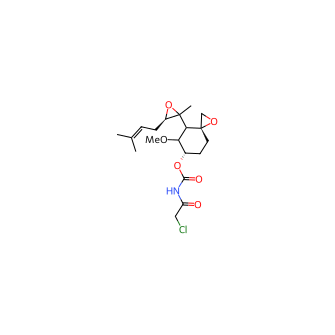 COC1C(C2(C)O[C@@H]2CC=C(C)C)[C@]2(CC[C@@H]1OC(=O)NC(=O)CCl)CO2